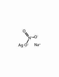 O=[N+]([O-])[O-].[Ag].[Na+]